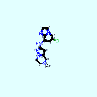 CC(=O)N1CCn2nc(Nc3cc(Cl)cn4ccnc34)cc2C1